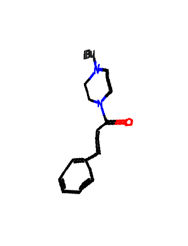 CCC(C)N1CCN(C(=O)/C=C/c2ccccc2)CC1